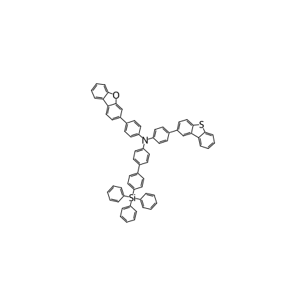 c1ccc([Si](c2ccccc2)(c2ccccc2)c2ccc(-c3ccc(N(c4ccc(-c5ccc6c(c5)oc5ccccc56)cc4)c4ccc(-c5ccc6sc7ccccc7c6c5)cc4)cc3)cc2)cc1